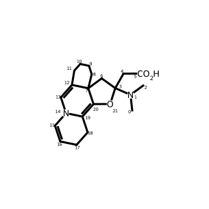 CN(C)C1(CC(=O)O)CC23CCCCC2=CN2C=CCCC2=C3O1